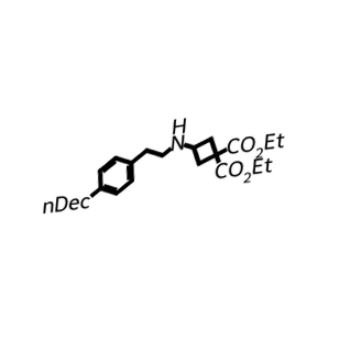 CCCCCCCCCCc1ccc(CCNC2CC(C(=O)OCC)(C(=O)OCC)C2)cc1